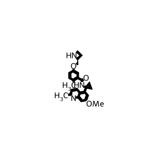 COc1cc(C2(NC(=O)c3cc(OC[C@@H]4CCN4)ccc3C)CC2)c2ccc(C)nc2c1